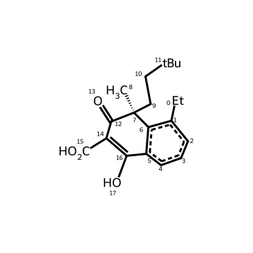 CCc1cccc2c1[C@](C)(CCC(C)(C)C)C(=O)C(C(=O)O)=C2O